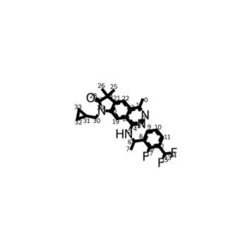 Cc1nnc(NC(C)c2cccc(C(F)F)c2F)c2cc3c(cc12)C(C)(C)C(=O)N3CC1CC1